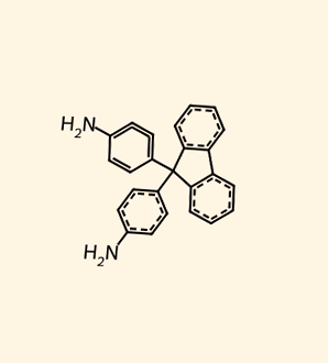 NC1=C=C=C(C2(c3ccc(N)cc3)c3ccccc3-c3ccccc32)C=C1